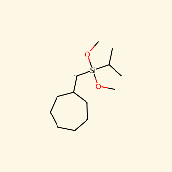 CO[Si]([CH]C1CCCCCC1)(OC)C(C)C